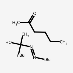 CCCCC(C)(O)/N=N/C(C)(C)C.CCCCC(C)=O